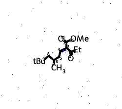 CCC(=O)/C(=C\CC(C)CC(C)(C)C)C(=O)OC